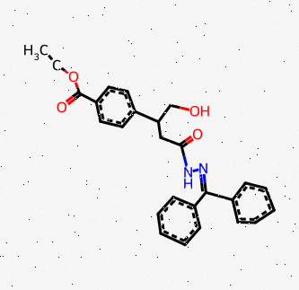 CCOC(=O)c1ccc(C(CO)CC(=O)NN=C(c2ccccc2)c2ccccc2)cc1